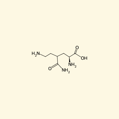 NCCC(C[C@H](N)C(=O)O)C(N)=O